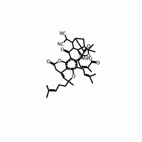 COC(=O)/C(C)=C\CC12OC(C)(C)C3CC(C1=O)C(C(C#N)C#N)C1C(=O)c4c(c(CC=C(C)C)c5c6c4OC(=O)CC6=CC(C)(CCC=C(C)C)O5)OC132